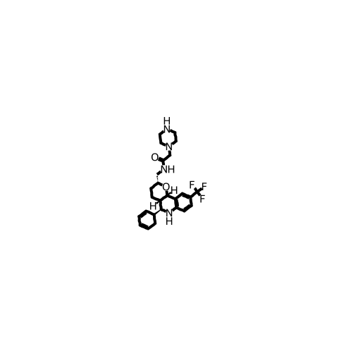 O=C(CN1CCNCC1)NC[C@H]1CC[C@@H]2[C@H](O1)c1cc(C(F)(F)F)ccc1N[C@H]2C1C=CC=CC1